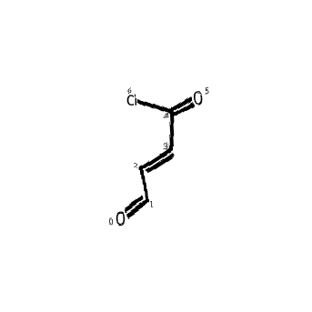 O=CC=CC(=O)Cl